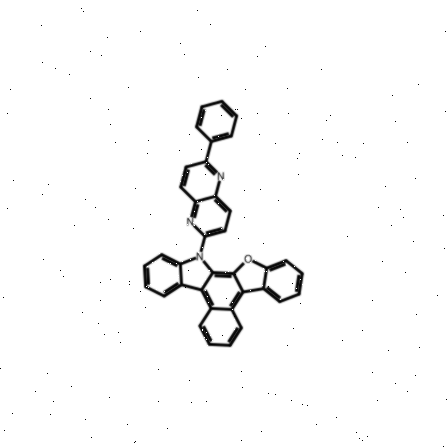 c1ccc(-c2ccc3nc(-n4c5ccccc5c5c6ccccc6c6c7ccccc7oc6c54)ccc3n2)cc1